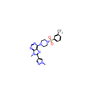 Cn1cc(-c2nc3c(N4CCN(S(=O)(=O)c5cccc(C(F)(F)F)c5)CC4)ncnc3n2C)cn1